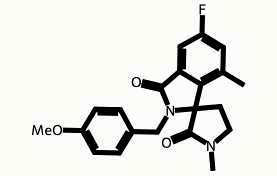 COc1ccc(CN2C(=O)c3cc(F)cc(C)c3C23CCN(C)C3=O)cc1